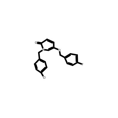 O=c1ccc(OCc2ccc(F)cc2)cn1Cc1ccc(Cl)cc1